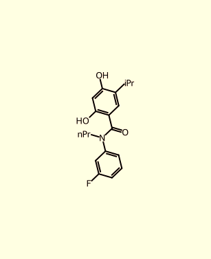 CCCN(C(=O)c1cc(C(C)C)c(O)cc1O)c1cccc(F)c1